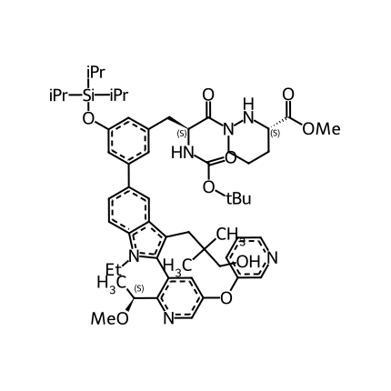 CCn1c(-c2cc(Oc3cccnc3)cnc2[C@H](C)OC)c(CC(C)(C)CO)c2cc(-c3cc(C[C@H](NC(=O)OC(C)(C)C)C(=O)N4CCC[C@@H](C(=O)OC)N4)cc(O[Si](C(C)C)(C(C)C)C(C)C)c3)ccc21